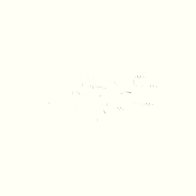 COC(OC)C(C(OC)OC)[C@H]1C[C@H]2[C@@H](CF)SC(NC(=O)c3ccccc3)=N[C@@]2(c2ccc(F)cc2F)CO1